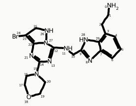 NCCc1cccc2nc(CNC3=NC(N4CCOCC4)=NC4=C(Br)CNN34)[nH]c12